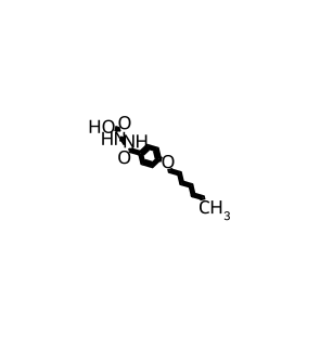 CCCCCCCOc1ccc(C(=O)NNC(=O)O)cc1